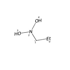 CC[CH]N(O)O